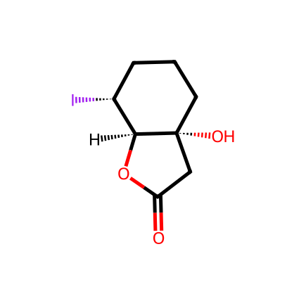 O=C1C[C@]2(O)CCC[C@@H](I)[C@@H]2O1